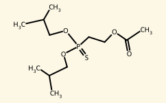 CC(=O)OCCP(=S)(OCC(C)C)OCC(C)C